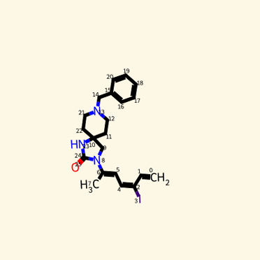 C=C/C(I)=C\C=C(/C)N1CC2(CCN(Cc3ccccc3)CC2)NC1=O